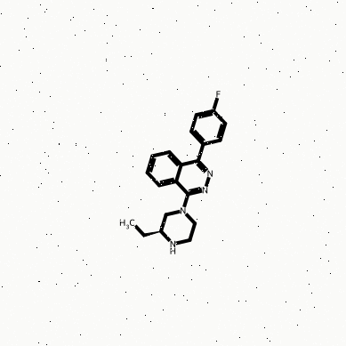 CC[C@H]1CN(c2nnc(-c3ccc(F)cc3)c3ccccc23)CCN1